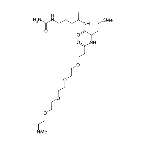 CNCCOCCOCCOCCOCCC(=O)NC(CCSC)C(=O)NC(C)CCCNC(N)=O